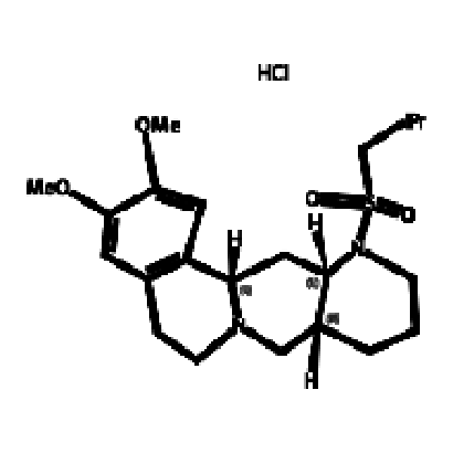 COc1cc2c(cc1OC)[C@@H]1C[C@H]3[C@H](CCCN3S(=O)(=O)CC(C)C)CN1CC2.Cl